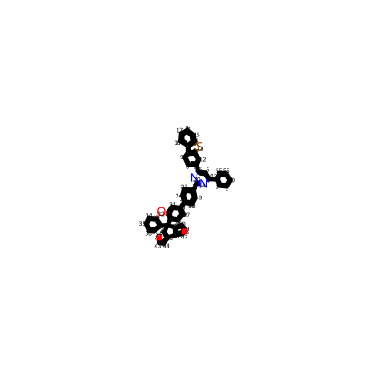 c1ccc(-c2cc(-c3ccc4c(c3)sc3ccccc34)nc(-c3ccc(-c4ccc5c(c4)Oc4ccccc4C54c5ccccc5-c5ccccc54)cc3)n2)cc1